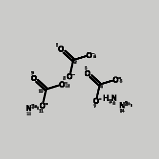 N.O=C([O-])[O-].O=C([O-])[O-].O=C([O-])[O-].[N+3].[N+3]